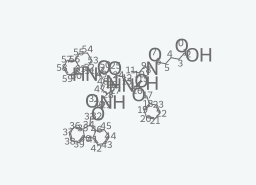 O=C(O)CCCC(=O)NCCC[C@H](NC(=O)OCc1ccccc1)C(=O)N1C[C@@H](NC(=O)OCC2c3ccccc3-c3ccccc32)C[C@H]1C(=O)NC1CCCc2ccccc21